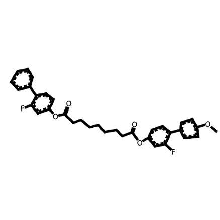 COc1ccc(-c2ccc(OC(=O)CCCCCCCC(=O)Oc3ccc(-c4ccccc4)c(F)c3)cc2F)cc1